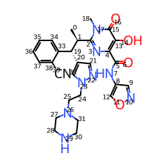 C[C@@H](c1nc(C(=O)Nc2cnoc2)c(O)c(=O)n1C)[C@H](c1cnn(CCN2CCNCC2)c1)c1ccccc1C#N